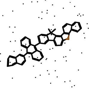 CC1(C)c2ccc(-c3c4ccccc4c(-c4ccc5ccccc5c4)c4ccccc34)cc2-c2ccc3sc4c5ccccc5ccc4c3c21